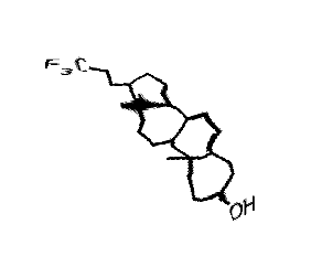 CC12CCC(O)CC1=CCC1C2CCC2(C)C(CCC(F)(F)F)CCC12